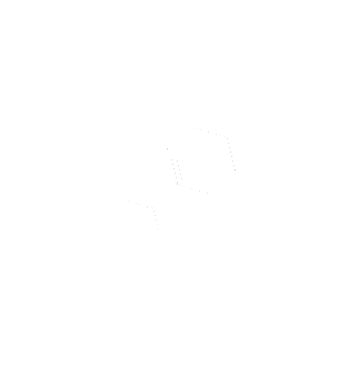 CC(C)C1=NCCCC1